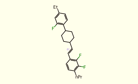 CCCc1ccc(/C=C/C2CCC(c3ccc(CC)cc3F)CC2)c(F)c1F